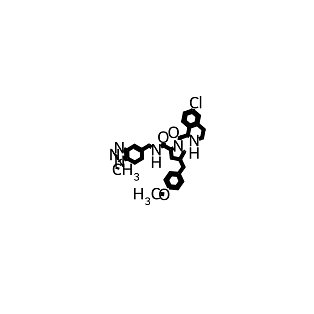 COc1ccc(CC2CC(C(=O)NCC3=Cc4nnn(C)c4CC3)N(C(=O)C3NCCc4cc(Cl)ccc43)C2)cc1